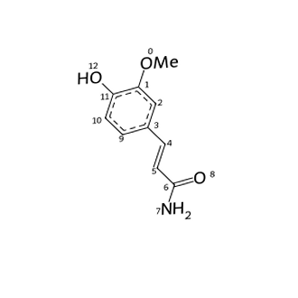 COc1cc(C=CC(N)=O)ccc1O